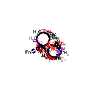 CO[C@H]1/C=C/O[C@@]2(C)Oc3c(C)c(O)c4c(=O)c(c5oc6cc(N7CCN(CC(C)C)CC7)cc(O)c6nc-5c4c3C2=O)NC(=O)/C(C)=C\C=C\[C@H](C)[C@H](O)[C@@H](C)[C@@H](O)[C@@H](C)[C@H](OC(C)=O)[C@@H]1C.CO[C@H]1/C=C/O[C@@]2(C)Oc3c(C)c(O)c4c(O)c(c(/C=N/N5CCN(C)CC5)c(O)c4c3C2=O)NC(=O)/C(C)=C\C=C\[C@H](C)[C@H](O)[C@@H](C)[C@@H](O)[C@@H](C)[C@H](OC(C)=O)[C@@H]1C